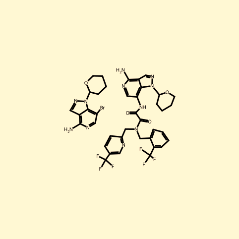 Nc1ncc(Br)c2c1cnn2C1CCCCO1.Nc1ncc(NC(=O)C(=O)N(Cc2ccc(C(F)(F)F)cn2)Cc2ccccc2C(F)(F)F)c2c1cnn2C1CCCCO1